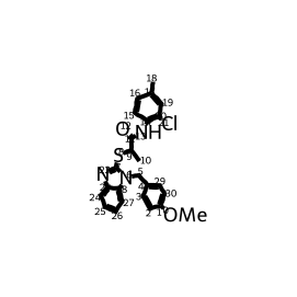 COc1ccc(Cn2c(SC(C)C(=O)Nc3ccc(C)cc3Cl)nc3ccccc32)cc1